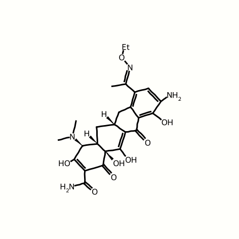 CCO/N=C(\C)c1cc(N)c(O)c2c1C[C@H]1C[C@H]3[C@H](N(C)C)C(O)=C(C(N)=O)C(=O)[C@@]3(O)C(O)=C1C2=O